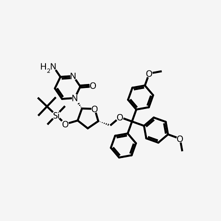 COc1ccc(C(OC[C@@H]2CC(O[Si](C)(C)C(C)(C)C)[C@H](n3ccc(N)nc3=O)O2)(c2ccccc2)c2ccc(OC)cc2)cc1